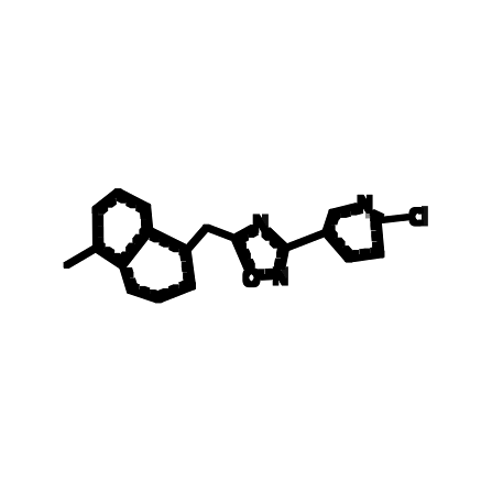 Cc1cccc2c(Cc3nc(-c4ccc(Cl)nc4)no3)cccc12